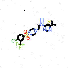 Cc1csc2c(N[C@@H](C)CN3CCN(S(=O)(=O)c4ccc(Cl)c(C(F)(F)F)c4)CC3)ncnc12